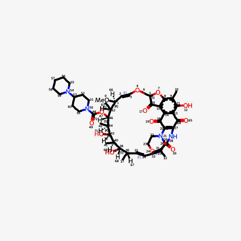 CO[C@H]1/C=C/O[C@@]2(C)Oc3c(C)c(O)c4c(c3C2=O)C(=O)C(N2CCOCC2)=C(NC(=O)/C(C)=C\C=C\[C@H](C)[C@H](O)[C@@H](C)[C@@H](O)[C@@H](C)[C@H](OC(=O)N2CCC(N3CCCCC3)CC2)[C@@H]1C)C4=O